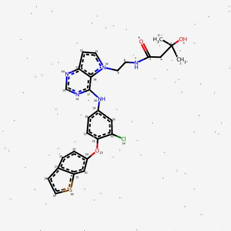 CC(C)(O)CC(=O)NCCn1ccc2ncnc(Nc3ccc(Oc4ccc5ccsc5c4)c(Cl)c3)c21